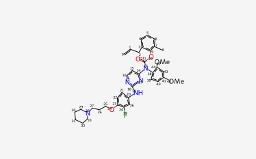 C=CCc1cccc(C)c1OC(=O)N(c1ccnc(Nc2ccc(OCCCN3CCCCC3)c(F)c2)n1)c1ccc(OC)cc1OC